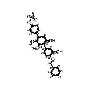 COc1c(-c2ccc(OS(C)(=O)=O)cc2)cc(O)c(-c2ccc(OCc3ccccc3)c(O)c2)c1OC